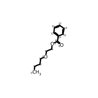 CCCCOCCOC(=O)c1ccccc1